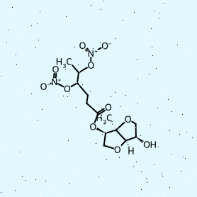 CC(O[N+](=O)[O-])C(CCC(=O)O[C@@H]1CO[C@@H]2[C@H](O)CO[C@@]21C)O[N+](=O)[O-]